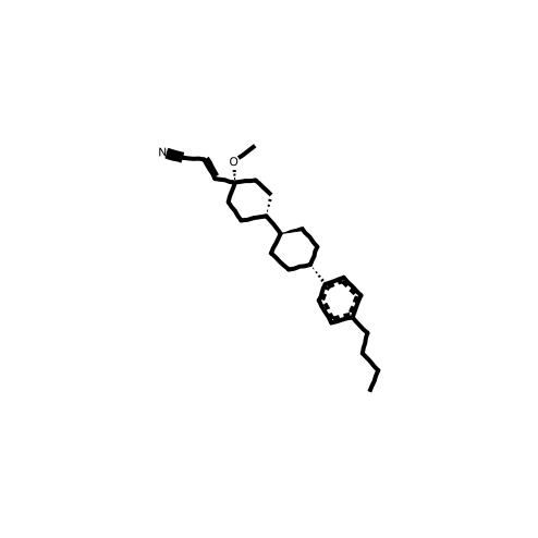 CCCCc1ccc([C@H]2CC[C@H]([C@H]3CC[C@@](C=CC#N)(OC)CC3)CC2)cc1